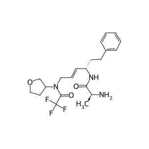 C[C@H](N)C(=O)N[C@H](/C=C/CN(C(=O)C(F)(F)F)C1CCOC1)CCc1ccccc1